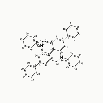 C/C=c1/cc(-c2ccccc2)cc2c1=C1C(=CC(c3ccccc3)=C/C1=N\c1ccccc1)CN2c1ccccc1